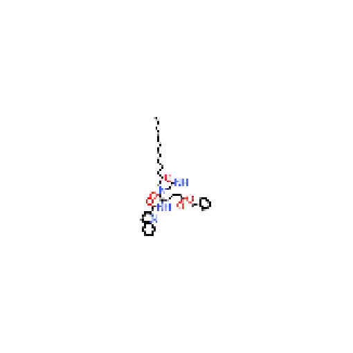 CCCCCCCCCCCCCN(CC(=O)NC)C(=O)[C@H](CCCC(=O)OCc1ccccc1)NC(=O)c1ccc2ccccc2n1